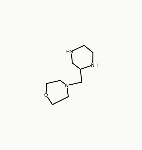 C1CNC(CN2CCOCC2)CN1